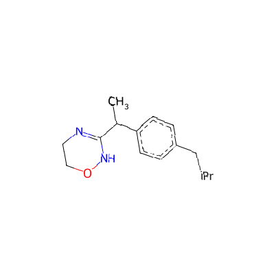 CC(C)Cc1ccc(C(C)C2=NCCON2)cc1